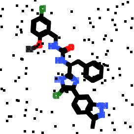 CCOc1ccc(Cl)cc1CNC(=O)N[C@@H](Cc1ccccc1)c1nc(-c2ccc3c(C)n[nH]c3c2)c(Cl)[nH]1